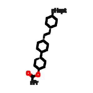 CCCCCCC[C@H]1CC[C@H](CC[C@H]2CC[C@H]([C@H]3CC[C@H](OC(=O)CCC)CC3)CC2)CC1